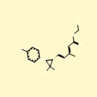 CC(C=C[C@@H]1[C@@H](c2ccc(Br)cc2)C1(F)F)=CC(=O)NCC(C)C